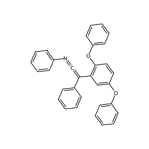 C(=Nc1ccccc1)=C(c1ccccc1)c1cc(Oc2ccccc2)ccc1Oc1ccccc1